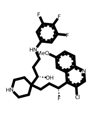 COc1ccc2ncc(Cl)c([C@H](F)CCC3([C@@H](O)CCNc4cc(F)c(F)c(F)c4)CCNCC3)c2c1